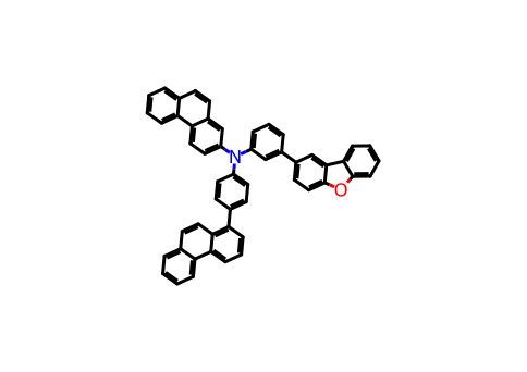 c1cc(-c2ccc3oc4ccccc4c3c2)cc(N(c2ccc(-c3cccc4c3ccc3ccccc34)cc2)c2ccc3c(ccc4ccccc43)c2)c1